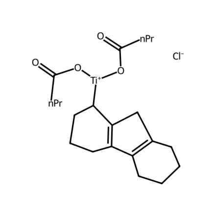 CCCC(=O)[O][Ti+]([O]C(=O)CCC)[CH]1CCCC2=C1CC1=C2CCCC1.[Cl-]